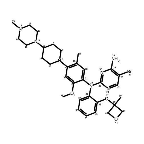 COc1cc(N2CCC(N3CCN(C)CC3)CC2)c(C)cc1N(c1ncc(Br)c(N)n1)c1ccccc1OC1(C)COC1